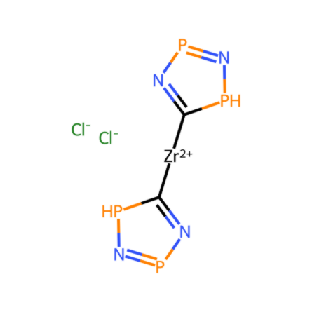 [Cl-].[Cl-].n1pn[c]([Zr+2][c]2npn[pH]2)[pH]1